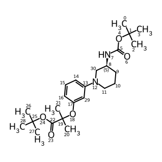 CC(C)(C)OC(=O)N[C@H]1CCCN(c2cccc(OC(C)(C)C(=O)OC(C)(C)C)c2)C1